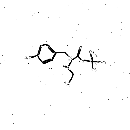 CCN[C@@H](Cc1ccc(C)cc1)C(=O)OC(C)(C)C